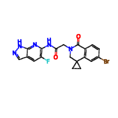 O=C(CN1CC2(CC2)c2cc(Br)ccc2C1=O)Nc1nc2[nH]ncc2cc1F